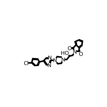 O=C1c2ccccc2C(=O)N1CC(O)CN1CCN(c2ncc(-c3ccc(Cl)cc3)cn2)CC1